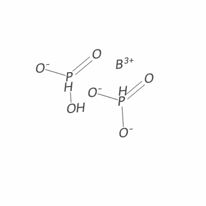 O=[PH]([O-])O.O=[PH]([O-])[O-].[B+3]